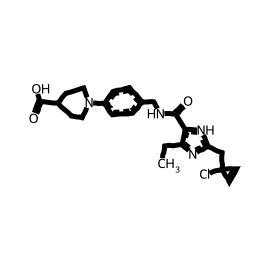 CCc1nc(CC2(Cl)C=C2)[nH]c1C(=O)NCc1ccc(N2CCC(C(=O)O)CC2)cc1